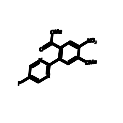 COC(=O)c1cc([N+](=O)[O-])c(OC)cc1-c1ncc(F)cn1